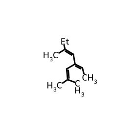 CC=C(C=C(C)C)C=C(C)CC